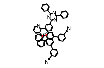 N#Cc1cccc(-c2ccc3c(c2)c2ccccc2n3-c2ccc(-c3nc(-c4ccccc4)nc(-c4ccccc4)n3)cc2-c2ncccc2-n2c3ccccc3c3cc(-c4cccc(C#N)c4)ccc32)c1